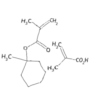 C=C(C)C(=O)O.C=C(C)C(=O)OC1(C)CCCCC1